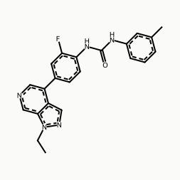 CCn1ncc2c(-c3ccc(NC(=O)Nc4cccc(C)c4)c(F)c3)cncc21